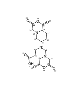 O=C(O)CCN(CN1CC(=O)OC(=O)C1)C1CCC2C(=O)OC(=O)CN2C1